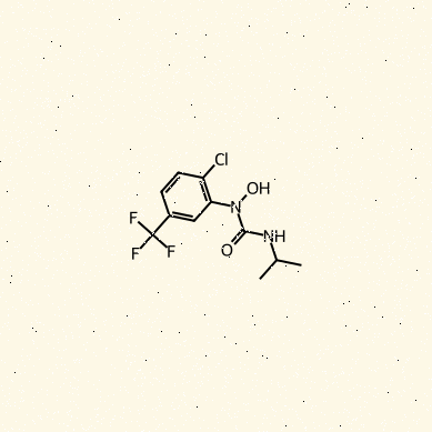 CC(C)NC(=O)N(O)c1cc(C(F)(F)F)ccc1Cl